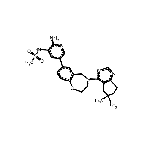 CC1(C)CCc2ncnc(N3CCOc4ccc(-c5cnc(N)c(NS(C)(=O)=O)c5)cc4C3)c2C1